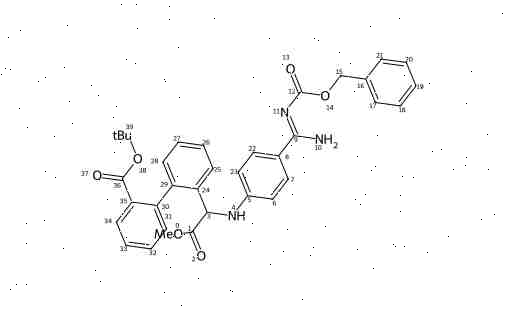 COC(=O)C(Nc1ccc(C(N)=NC(=O)OCc2ccccc2)cc1)c1ccccc1-c1ccccc1C(=O)OC(C)(C)C